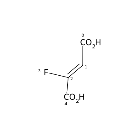 O=C(O)/C=C(\F)C(=O)O